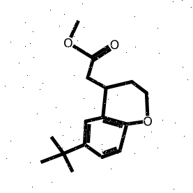 COC(=O)CC1CCOc2ccc(C(C)(C)C)cc21